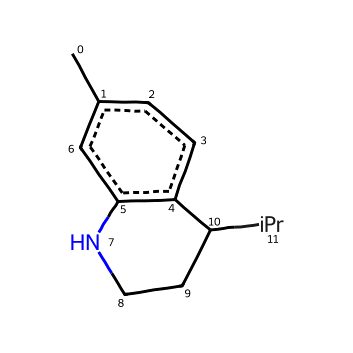 Cc1ccc2c(c1)NCCC2C(C)C